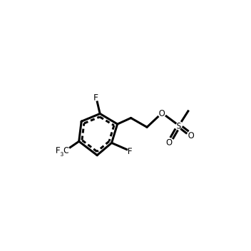 CS(=O)(=O)OCCc1c(F)cc(C(F)(F)F)cc1F